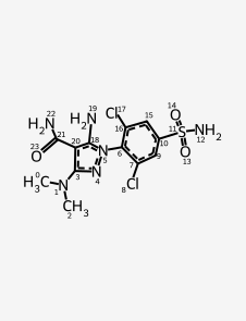 CN(C)c1nn(-c2c(Cl)cc(S(N)(=O)=O)cc2Cl)c(N)c1C(N)=O